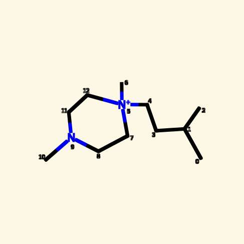 CC(C)CC[N+]1(C)CCN(C)CC1